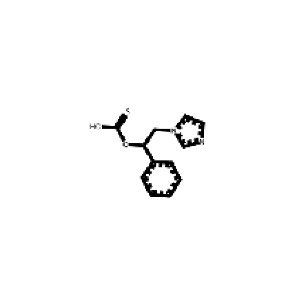 OC(=S)OC(Cn1ccnc1)c1ccccc1